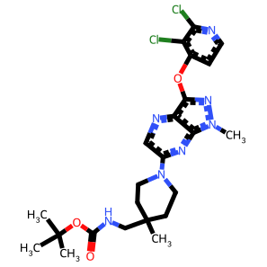 Cn1nc(Oc2ccnc(Cl)c2Cl)c2ncc(N3CCC(C)(CNC(=O)OC(C)(C)C)CC3)nc21